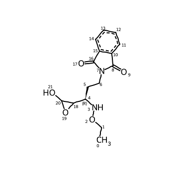 CCON[C@H](CCN1C(=O)c2ccccc2C1=O)C1OC1O